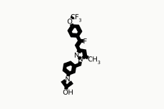 Cc1cc(/C=C(\F)c2ccc(OC(F)(F)F)cc2)nn1Cc1cccc(N2CC(O)C2)c1